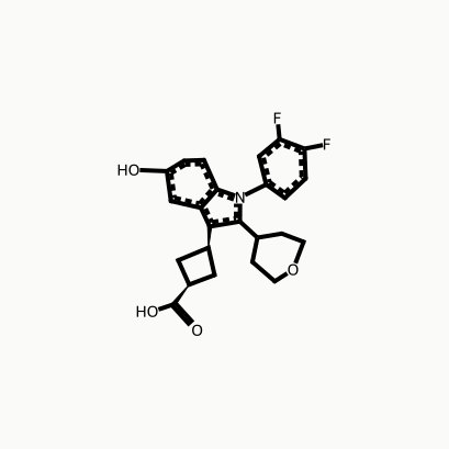 O=C(O)[C@H]1C[C@@H](c2c(C3CCOCC3)n(-c3ccc(F)c(F)c3)c3ccc(O)cc32)C1